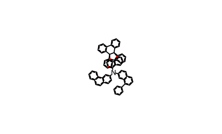 c1ccc(-c2cccc3ccc(N(c4ccc5ccc6ccccc6c5c4)c4ccc5c6c(cccc46)C46c7ccccc7-c7ccccc7C54c4ccccc4-c4ccccc46)cc23)cc1